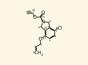 C=CCOc1ccc(Cl)c2c1CN(C(=O)OC(C)(C)C)C2